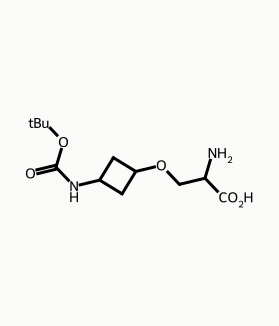 CC(C)(C)OC(=O)NC1CC(OCC(N)C(=O)O)C1